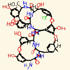 C[C@@H]1C=C2C=C[C@H]1Oc1cc3cc(c1O)Oc1ccc(cc1Cl)[C@@H](O)[C@@H]1NC(=O)[C@H](NC(=O)[C@@H]3NC(=O)[C@H]3NC(=O)[C@@H](C2)NC(=O)[C@H](N)c2ccc(O)c(c2)Oc2cc(O)cc3c2)c2ccc(O)c(c2)-c2c(O)cc(O)cc2[C@@H](C(=O)O)NC1=O